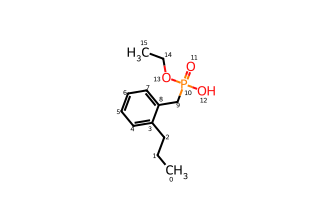 CCCc1ccccc1CP(=O)(O)OCC